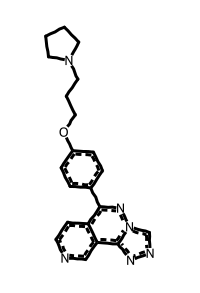 c1cc2c(-c3ccc(OCCCN4CCCC4)cc3)nn3cnnc3c2cn1